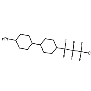 CCCC1CCC(C2CCC(C(F)(F)C(F)(F)C(F)(F)C(F)(F)F)CC2)CC1